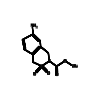 CC(C)(C)OC(=O)N1Cc2cc(N)ccc2CS1(=O)=O